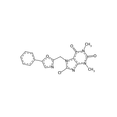 Cn1c(=O)c2c(nc(Cl)n2Cc2ncc(-c3ccccc3)o2)n(C)c1=O